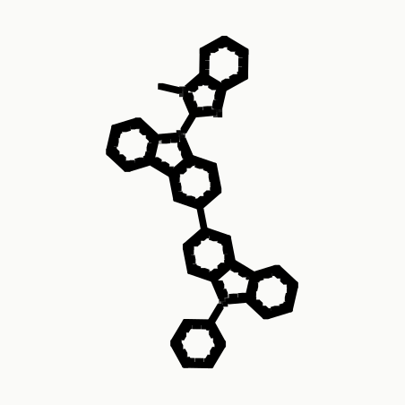 Cn1c(-n2c3ccccc3c3cc(-c4ccc5c(c4)c4ccccc4n5-c4ccccc4)ccc32)nc2ccccc21